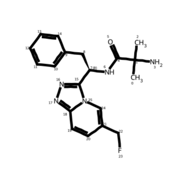 CC(C)(N)C(=O)N[C@H](Cc1ccccc1)c1nnc2ccc(CF)cn12